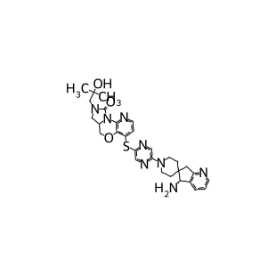 CC(C)(O)CN1CC2COc3c(Sc4cnc(N5CCC6(CC5)Cc5ncccc5[C@H]6N)cn4)ccnc3N2C1=O